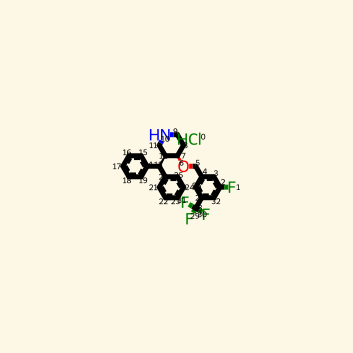 Cl.Fc1cc(CO[C@@H]2CCNC[C@@H]2C(c2ccccc2)c2ccccc2)cc(C(F)(F)F)c1